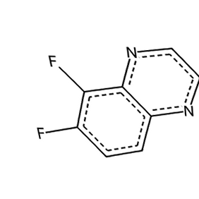 Fc1ccc2nccnc2c1F